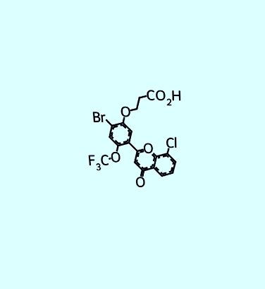 O=C(O)CCOc1cc(-c2cc(=O)c3cccc(Cl)c3o2)c(OC(F)(F)F)cc1Br